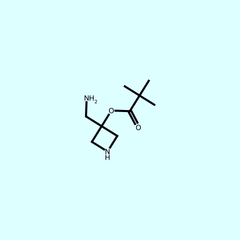 CC(C)(C)C(=O)OC1(CN)CNC1